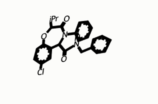 CC(C)C1Oc2ccc(Cl)cc2C(C(=O)NCc2ccccc2)N(c2ccccc2)C1=O